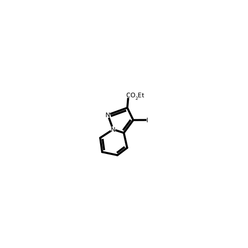 CCOC(=O)c1nn2ccccc2c1I